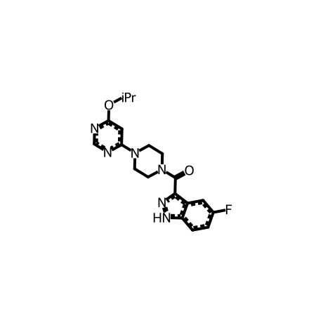 CC(C)Oc1cc(N2CCN(C(=O)c3n[nH]c4ccc(F)cc34)CC2)ncn1